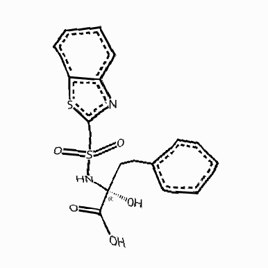 O=C(O)[C@](O)(Cc1ccccc1)NS(=O)(=O)c1nc2ccccc2s1